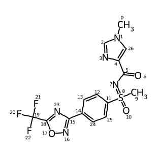 Cn1cnc(C(=O)N=S(C)(=O)c2ccc(-c3noc(C(F)(F)F)n3)cc2)c1